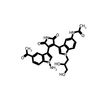 CC(=O)Nc1ccc2c(c1)c(C1=C(c3cn(N)c4ccc(C(C)=O)cc34)C(=O)NC1=O)cn2CC(O)CO